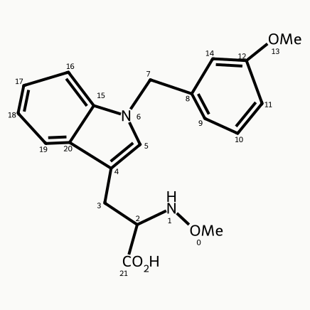 CONC(Cc1cn(Cc2cccc(OC)c2)c2ccccc12)C(=O)O